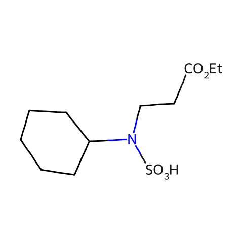 CCOC(=O)CCN(C1CCCCC1)S(=O)(=O)O